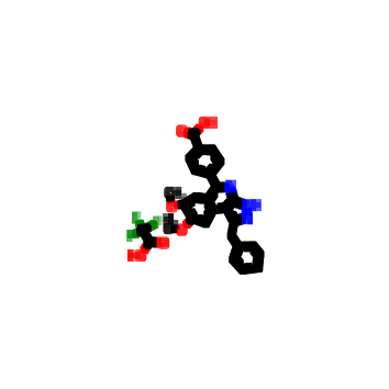 COc1cc2c(-c3ccc(C(=O)O)cc3)nc3[nH]nc(Cc4ccccc4)c3c2cc1OC.O=C(O)C(F)(F)F